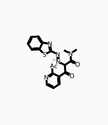 CC(=O)c1ncccc1C(=O)C(/N=N/c1nc2ccccc2s1)C(=O)N(C)C